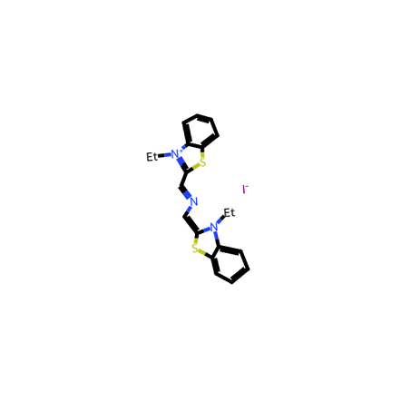 CCN1C(=CN=Cc2sc3ccccc3[n+]2CC)Sc2ccccc21.[I-]